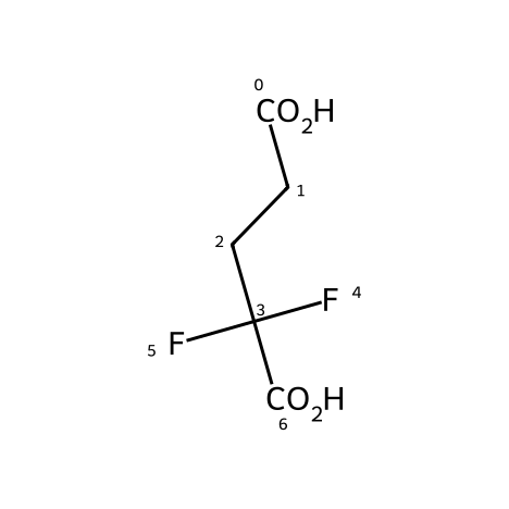 O=C(O)CCC(F)(F)C(=O)O